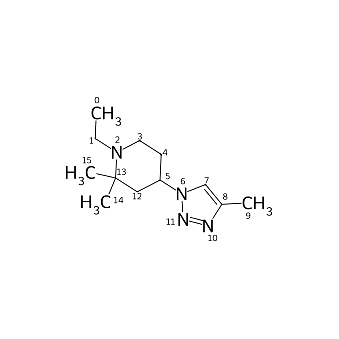 CCN1CCC(n2cc(C)nn2)CC1(C)C